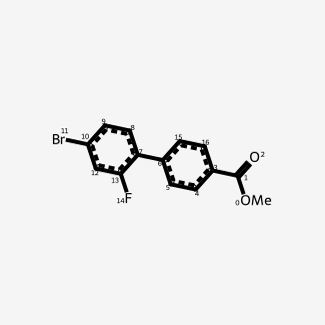 COC(=O)c1ccc(-c2ccc(Br)cc2F)cc1